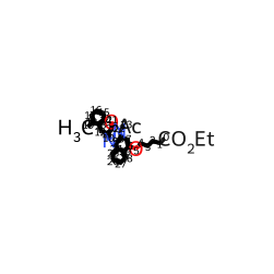 CCOC(=O)CCCCOc1cc2c(nc(Cc3ccccc3C)c(=O)n2C(C)=O)c2ccccc12